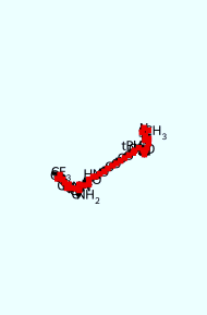 Cc1ncsc1-c1ccc(CNC(=O)[C@@H]2CCCN2C(=O)[C@@H](NC(=O)CCOCCOCCOCCOCCOCCNC(=O)CCCn2cnc(-c3cnc(OC4CCN(C(=O)Cc5ccc(OC(F)(F)F)cc5)CC4)c(C(N)=O)c3)c2)C(C)(C)C)cc1